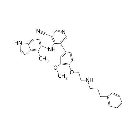 COc1cc(-c2cncc(C#N)c2Nc2ccc3[nH]ccc3c2C)ccc1OCCNCCCc1ccccc1